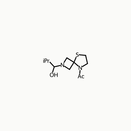 CC(=O)N1CCSC12CN(C(O)C(C)C)C2